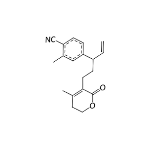 C=CC(CCC1=C(C)CCOC1=O)c1ccc(C#N)c(C)c1